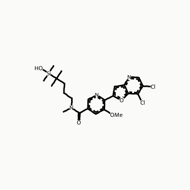 COc1cc(C(=O)N(C)CCCC(C)(C)[Si](C)(C)O)cnc1-c1cc2ncc(Cl)c(Cl)c2o1